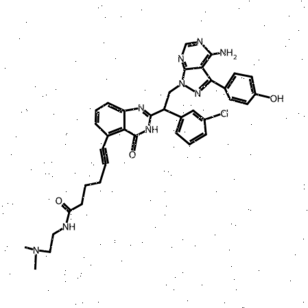 CN(C)CCNC(=O)CCCC#Cc1cccc2nc(C(Cn3nc(-c4ccc(O)cc4)c4c(N)ncnc43)c3cccc(Cl)c3)[nH]c(=O)c12